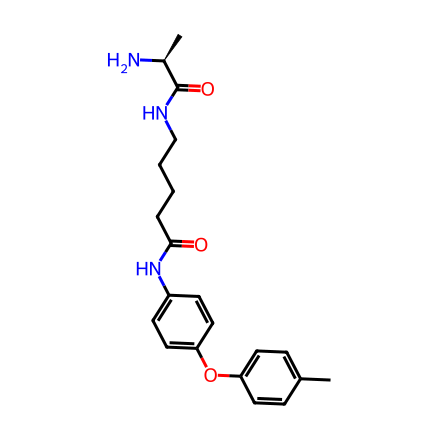 Cc1ccc(Oc2ccc(NC(=O)CCCCNC(=O)[C@H](C)N)cc2)cc1